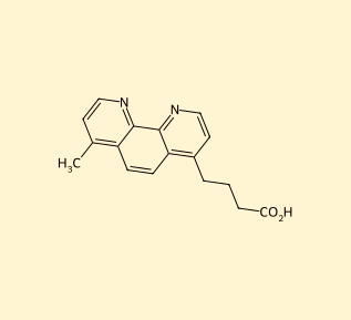 Cc1ccnc2c1ccc1c(CCCC(=O)O)ccnc12